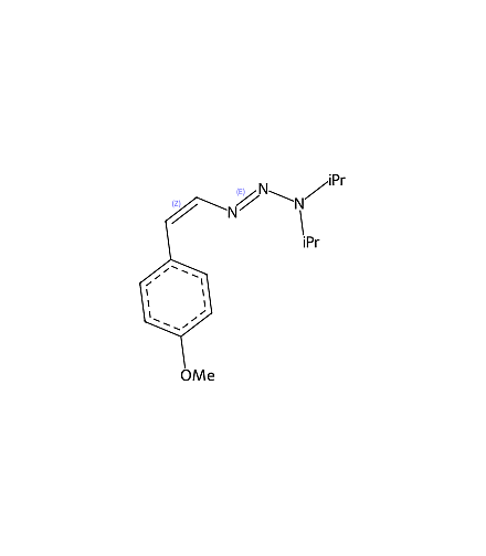 COc1ccc(/C=C\N=N\N(C(C)C)C(C)C)cc1